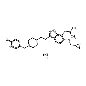 CN(C)Cc1c(OCC2CC2)ccc2c(CCC3CCN(Cc4ccc(=O)[nH]c4)CC3)noc12.Cl.Cl